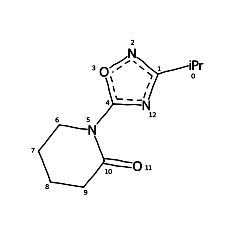 CC(C)c1noc(N2CCCCC2=O)n1